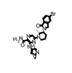 C[C@@H]1[C@H](N2Cc3cc(Br)ccc3C2=O)CCCN1c1cnc(C(N)=O)c(Nc2cnn(C)c2)n1